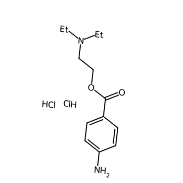 CCN(CC)CCOC(=O)c1ccc(N)cc1.Cl.Cl